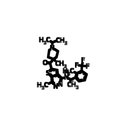 Cc1c([C@@H](C)Nc2nnc(C)c3sc(C(=O)C4(C)CCN(C(C)C)CC4)cc23)cccc1C(F)(F)F